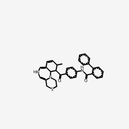 CC1C=CC2=CNC=C3CSCCN3C2C1C(=O)c1ccc(NC(=O)c2ccccc2-c2ccccc2)cc1